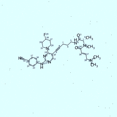 C[C@@H](C(=O)NCCCC#Cc1cnc(Nc2ccc(C#N)cc2)nc1N1CCC(F)CC1)N(C)C(=O)/C=C/CN(C)C